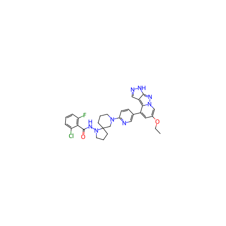 CCOc1cc(-c2ccc(N3CCCC4(CCCN4NC(=O)c4c(F)cccc4Cl)C3)nc2)c2c3cn[nH]c3nn2c1